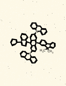 CC1(C)c2ccccc2-c2ccc(-c3c4cc(N5c6ccccc6Cc6ccccc65)ccc4c(-c4ccc(-c5ccccc5)c5ccccc45)c4cc(N5c6ccccc6Cc6ccccc65)ccc34)cc21